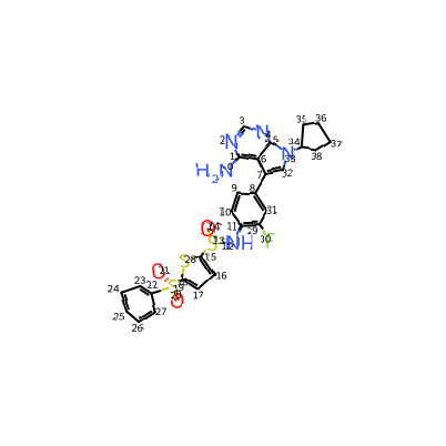 Nc1ncnc2c1c(-c1ccc(N[S+]([O-])c3ccc(S(=O)(=O)c4ccccc4)s3)c(F)c1)cn2C1CCCC1